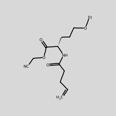 C=CCCC(=O)N[C@@H](CCCOCC)C(=O)OCC#N